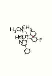 CN(C)CCC(O)(C1=C=C=CC=C1)C(c1ccc(F)cc1)c1cc(-c2ccccc2)cnc1O